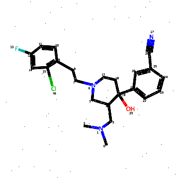 CN(C)CC1CN(CCc2ccc(F)cc2Cl)CCC1(O)c1cccc(C#N)c1